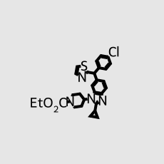 CCOC(=O)N1CCC(n2c(C3CC3)nc3ccc(C(c4ccc(Cl)cc4)c4nccs4)cc32)CC1